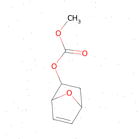 COC(=O)OC1CC2C=CC1O2